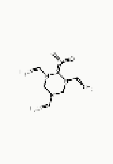 C=CN1CN(C=C)C(=S(=O)=O)N(C=C)C1